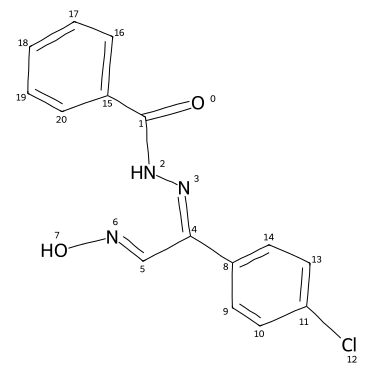 O=C(N/N=C(\C=N\O)c1ccc(Cl)cc1)c1ccccc1